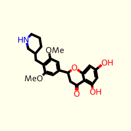 COc1cc(C2CC(=O)c3c(O)cc(O)cc3O2)cc(OC)c1CC1CCCNC1